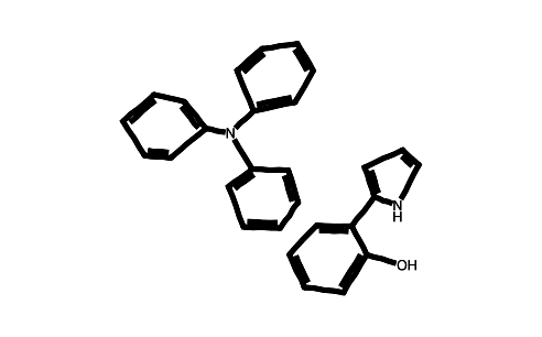 Oc1ccccc1-c1ccc[nH]1.c1ccc(N(c2ccccc2)c2ccccc2)cc1